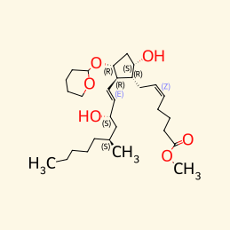 CCCCC[C@H](C)C[C@H](O)/C=C/[C@@H]1[C@@H](C/C=C\CCCC(=O)OC)[C@@H](O)C[C@H]1OC1CCCCO1